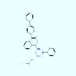 CCCCC(CC)COC1CC(C2CC3=C(C4C=CC(C5C=CC=CC5)=CC4O3)C3C=CC=CC32)=NC(C2C=CC=CC2O)=N1